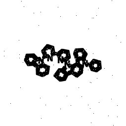 c1ccc(-n2c3ccccc3c3c2ccc2c4ccccc4n(-c4cccc(-c5cccc(-n6c7ccccc7c7ccccc76)n5)n4)c23)cc1